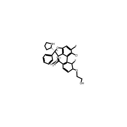 CO[C@H]1c2c(cc(F)c(Cl)c2C2=C(C(N)=O)C=CC(OCCO)C2F)O[C@@]1(c1ccccc1)C1CCCN1